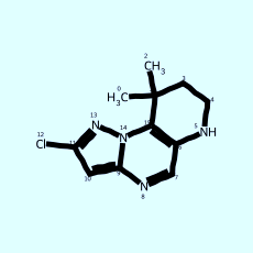 CC1(C)CCNc2cnc3cc(Cl)nn3c21